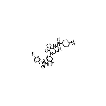 CN(C)C1CCC(Nc2ncc3c(n2)C2(CCCC2)C(=O)N(c2ccc(NS(=O)(=O)Cc4ccc(F)cc4)c(F)c2)C3)CC1